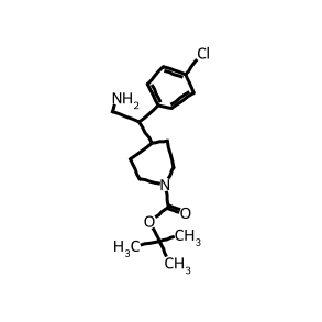 CC(C)(C)OC(=O)N1CCC(C(CN)c2ccc(Cl)cc2)CC1